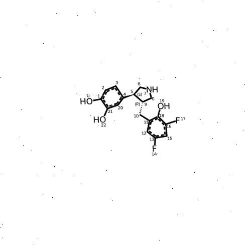 Oc1ccc([C@H]2CNC[C@@H]2Cc2cc(F)cc(F)c2O)cc1O